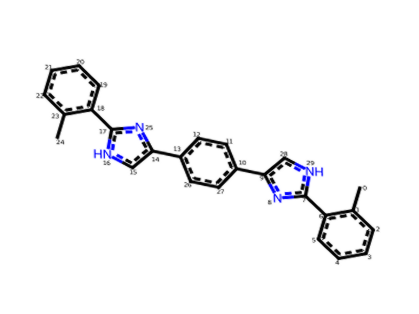 Cc1ccccc1-c1nc(-c2ccc(-c3c[nH]c(-c4ccccc4C)n3)cc2)c[nH]1